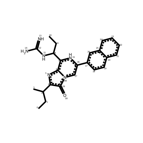 CCC(C)c1nc2c(C(CC)NC(=N)N)[nH]c(-c3ccc4ccccc4c3)cn-2c1=O